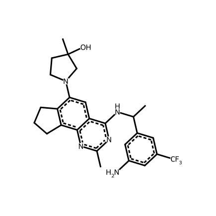 Cc1nc(NC(C)c2cc(N)cc(C(F)(F)F)c2)c2cc(N3CCC(C)(O)C3)c3c(c2n1)CCC3